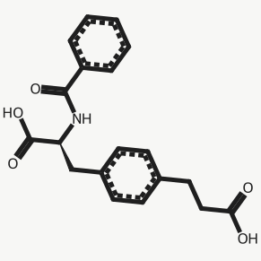 O=C(O)CCc1ccc(C[C@H](NC(=O)c2ccccc2)C(=O)O)cc1